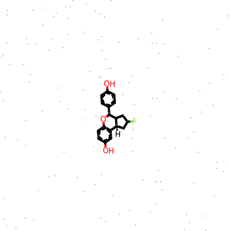 Oc1ccc(C2Oc3ccc(O)cc3[C@H]3CC(F)CC23)cc1